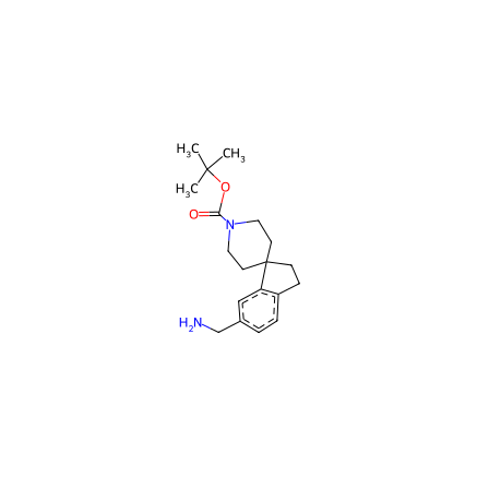 CC(C)(C)OC(=O)N1CCC2(CCc3ccc(CN)cc32)CC1